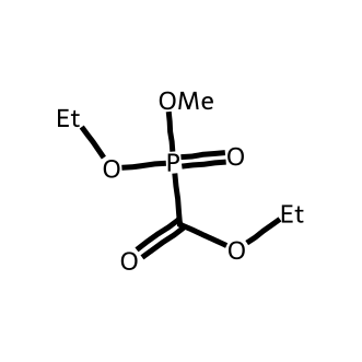 CCOC(=O)P(=O)(OC)OCC